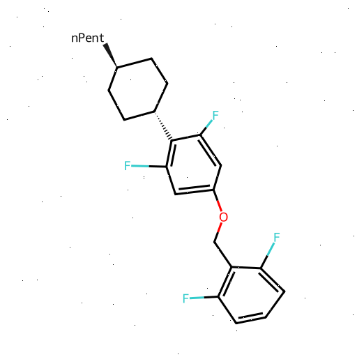 CCCCC[C@H]1CC[C@H](c2c(F)cc(OCc3c(F)cccc3F)cc2F)CC1